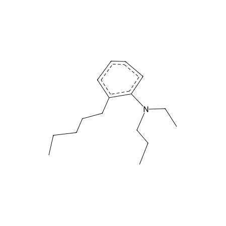 CCCCCc1ccccc1N(CC)CCC